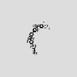 CCOCC1COC(c2cc(F)c(C(F)(F)Oc3ccc(-c4cc(F)c(C(F)(F)Oc5ccc(C(F)(F)F)c(F)c5)c(F)c4)cc3)c(F)c2)OC1